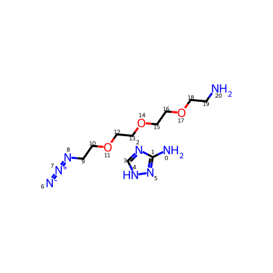 Nc1nc[nH]n1.[N-]=[N+]=NCCOCCOCCOCCN